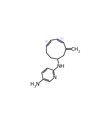 C=C1/C=C\C=C/CCC(Nc2ccc(N)cn2)C1